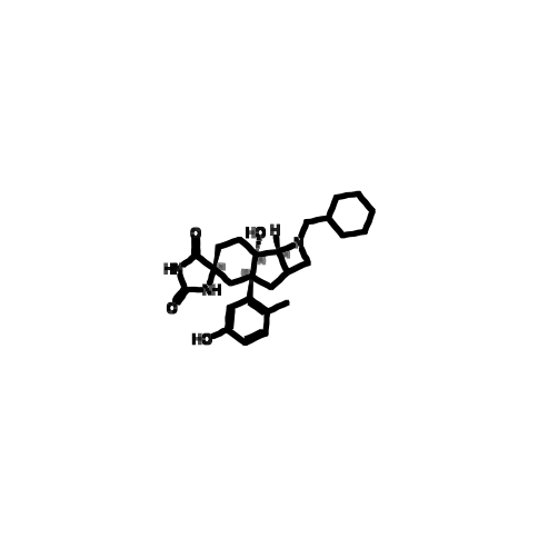 Cc1ccc(O)cc1[C@]12CC3CN(CC4CCCCC4)[C@H]3[C@]1(O)CC[C@@]1(C2)NC(=O)NC1=O